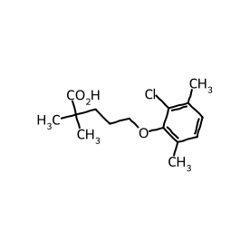 Cc1ccc(C)c(OCCCC(C)(C)C(=O)O)c1Cl